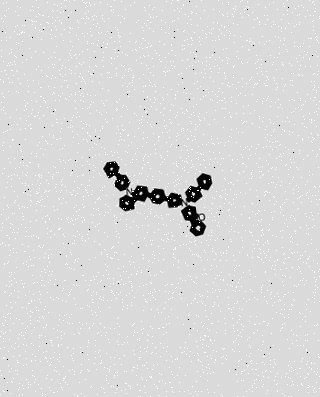 C1=Cc2c(oc3cc(N(c4ccc(-c5ccccc5)cc4)c4ccc(-c5ccc(-c6ccc7c(c6)c6ccccc6n7-c6ccc(-c7ccccc7)cc6)cc5)cc4)ccc23)CC1